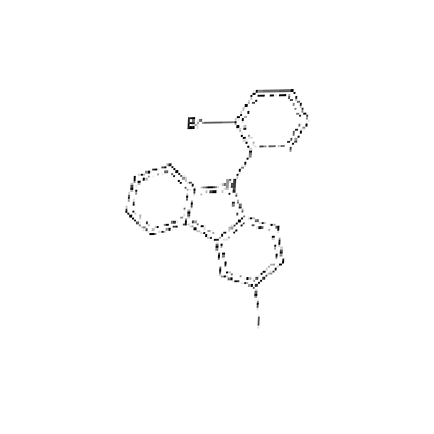 Brc1ccccc1-n1c2ccccc2c2cc(I)ccc21